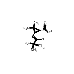 CC(C)(C)/C(Cl)=C/[C@@H]1[C@@H](C(=O)O)C1(C)C